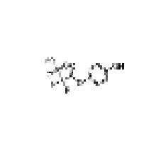 O=C(Oc1ccc(O)cc1)C(F)(F)S(=O)(=O)O